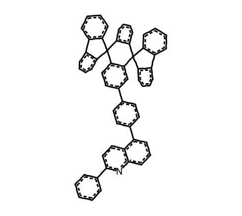 c1ccc(-c2ccc3c(-c4ccc(-c5ccc6c(c5)C5(c7ccccc7-c7ccccc75)c5ccccc5C65c6ccccc6-c6ccccc65)cc4)cccc3n2)cc1